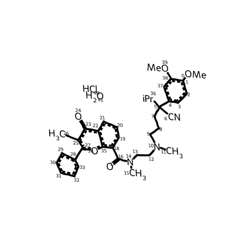 COc1ccc(C(C#N)(CCCN(C)CCN(C)C(=O)c2cccc3c(=O)c(C)c(-c4ccccc4)oc23)C(C)C)cc1OC.Cl.O